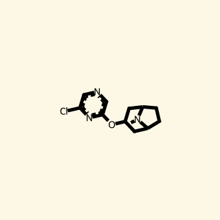 CN1C2CCC1CC(Oc1cncc(Cl)n1)C2